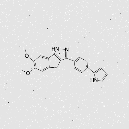 COc1cc2c(cc1OC)-c1[nH]nc(-c3ccc(-c4ccc[nH]4)cc3)c1C2